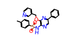 Cc1ccc(S(=O)(=O)Nc2ncc(-c3ccccc3)nc2OCc2cccnc2)cc1